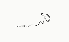 CCCCCCCCCCCC[N+]1([O-])[C]=CC=C1